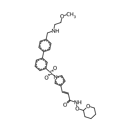 COCCNCc1ccc(-c2cccc(S(=O)(=O)n3ccc(/C=C/C(=O)NOC4CCCCO4)c3)c2)cc1